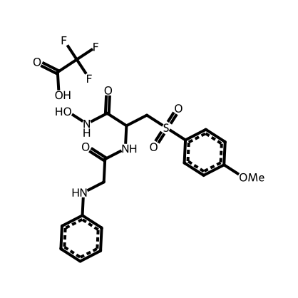 COc1ccc(S(=O)(=O)CC(NC(=O)CNc2ccccc2)C(=O)NO)cc1.O=C(O)C(F)(F)F